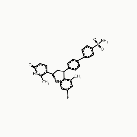 Cc1cc(F)ccc1[C@@H](C/C(=N\O)c1ccc(=O)[nH]c1C)c1ccc(-c2ccc(S(N)(=O)=O)cc2)cc1